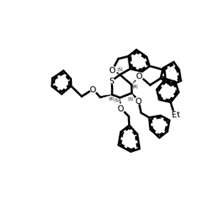 CCc1ccc(Cc2ccc3c(c2)[C@]2(OC3)S[C@H](COCc3ccccc3)[C@@H](OCc3ccccc3)[C@H](OCc3ccccc3)[C@H]2OCc2ccccc2)cc1